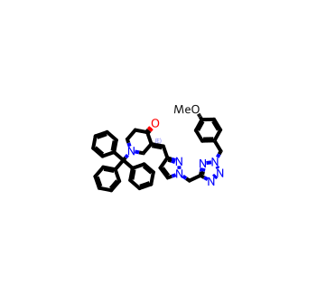 COc1ccc(Cn2nnc(Cn3ccc(/C=C4\CN(C(c5ccccc5)(c5ccccc5)c5ccccc5)CCC4=O)n3)n2)cc1